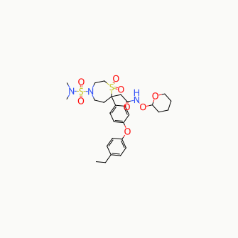 CCc1ccc(Oc2ccc(C3(CC(=O)NOC4CCCCO4)CCN(S(=O)(=O)N(C)C)CCS3(=O)=O)cc2)cc1